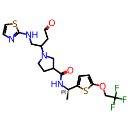 C[C@@H](NC(=O)C1CCN(C(CC=O)CNc2nccs2)C1)c1ccc(OCC(F)(F)F)s1